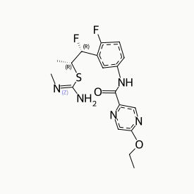 CCOc1cnc(C(=O)Nc2ccc(F)c([C@@H](F)[C@@H](C)S/C(N)=N\C)c2)cn1